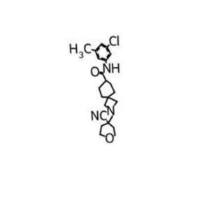 Cc1cc(Cl)cc(NC(=O)C2CCC3(CC2)CN(CC2(C#N)CCOCC2)C3)c1